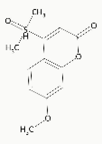 COc1ccc2c([SH](C)(C)=O)cc(=O)oc2c1